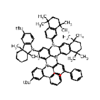 CC(C)(C)c1ccc(N2c3ccc(-c4ccccc4)cc3B3c4cc5c(cc4N(c4ccc6c(c4)C(C)(C)CCC6(C)C)c4cc(N6c7ccc(C(C)(C)C)cc7C7(C)CCCCC67C)cc2c43)C(C)(C)CCC5(C)C)c(-c2ccccc2)c1